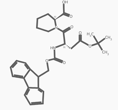 CC(C)(C)OC(=O)C[C@H](NC(=O)OCC1c2ccccc2-c2ccccc21)C(=O)N1CCCC[C@H]1C(=O)O